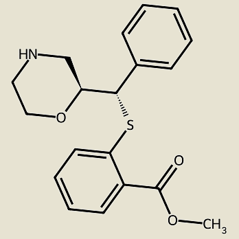 COC(=O)c1ccccc1S[C@@H](c1ccccc1)[C@@H]1CNCCO1